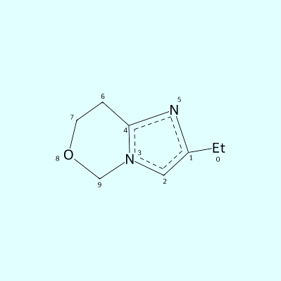 CCc1cn2c(n1)CCOC2